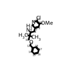 COc1cc(CC(N)C(C)(C)COCc2ccccc2)cnc1Cl